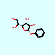 OCC(O)[C@H]1O[C@@H](Oc2ccccc2)[C@H](O)[C@H]1O